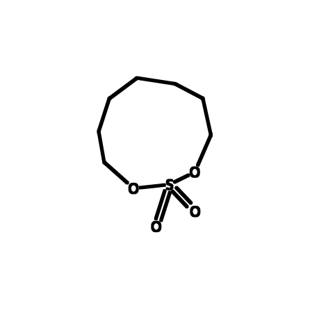 O=S1(=O)OCCCCCCCO1